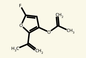 C=C(C)Oc1cc(F)oc1C(=C)C